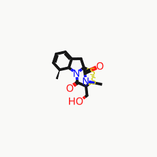 C[C@H]1C=CC=C2CC34SSC(CO)(C(=O)N3C21)N(C)C4=O